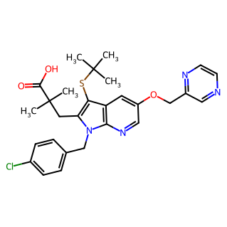 CC(C)(C)Sc1c(CC(C)(C)C(=O)O)n(Cc2ccc(Cl)cc2)c2ncc(OCc3cnccn3)cc12